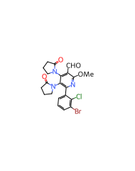 COc1nc(-c2cccc(Br)c2Cl)c(N2CCCC2=O)c(N2CCCC2=O)c1C=O